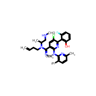 C=CCCN(/C(=N/C)c1cc(Cl)c(-c2c(O)cccc2F)nc1N(C=O)c1nc(C)ccc1C(C)C)C(C)CNC=O